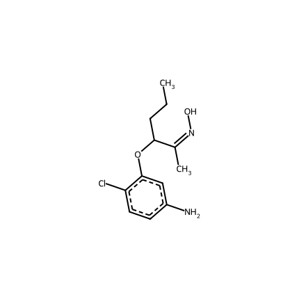 CCCC(Oc1cc(N)ccc1Cl)/C(C)=N\O